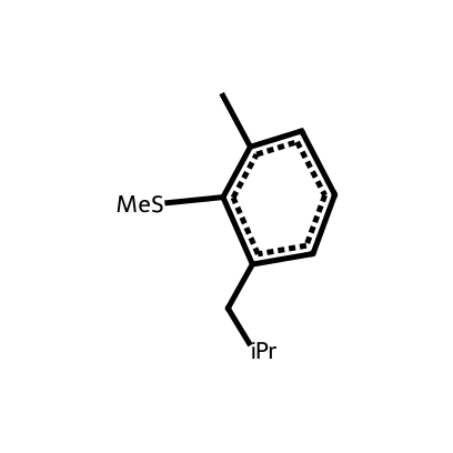 CSc1c(C)cccc1CC(C)C